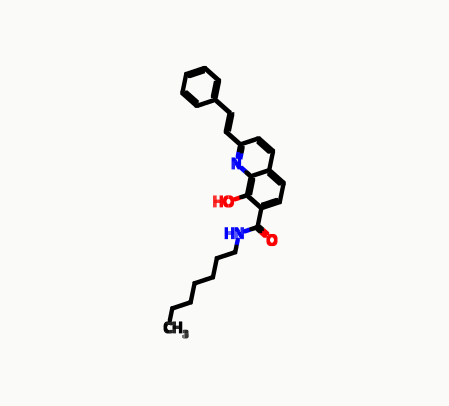 CCCCCCCNC(=O)c1ccc2ccc(/C=C/c3ccccc3)nc2c1O